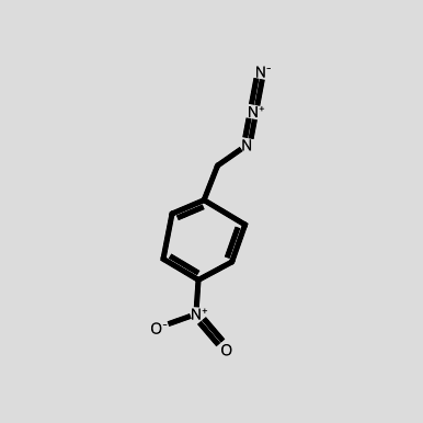 [N-]=[N+]=NCc1ccc([N+](=O)[O-])cc1